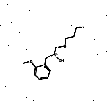 CCCCOC[C@H](O)Cc1ccccc1OC